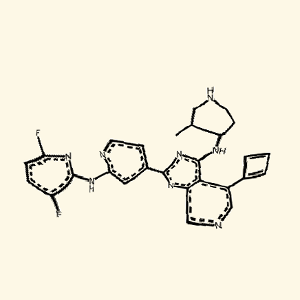 CC1CNCCC1Nc1nc(-c2ccnc(Nc3nc(F)ccc3F)c2)nc2cncc(C3=CC=C3)c12